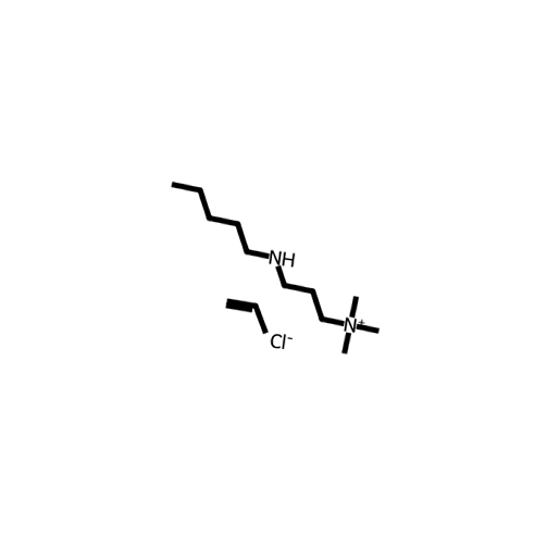 C=CC.CCCCCNCCC[N+](C)(C)C.[Cl-]